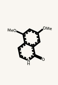 COc1cc(OC)c2cc[nH]c(=O)c2c1